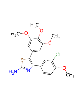 COc1ccc(-c2nc(N)sc2-c2cc(OC)c(OC)c(OC)c2)cc1Cl